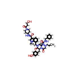 C=CCN1CC(=O)N2[C@@H](Cc3ccc(O)cc3)C(=O)N(Cc3cccc4c(C(=O)NC5CCN(C(=O)CCO)CC5)cn(C)c34)C[C@@H]2N1C(=O)NCc1ccccc1